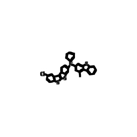 Cc1cc(N(c2ccccc2)c2ccc3c(c2)sc2sc4ccc(Cl)cc4c23)cc2sc3ccccc3c12